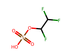 O=S(=O)(O)OC(F)C(F)F